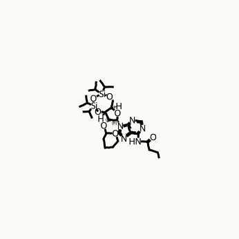 CCCC(=O)Nc1ncnc2c1ncn2[C@@H]1O[C@@H]2CO[Si](C(C)C)(C(C)C)O[Si](C(C)C)(C(C)C)O[C@H]2[C@H]1OC1CCCCO1